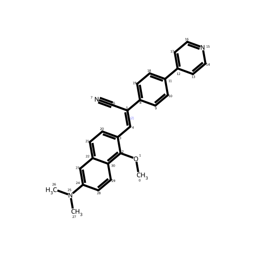 COc1c(/C=C(\C#N)c2ccc(-c3ccncc3)cc2)ccc2cc(N(C)C)ccc12